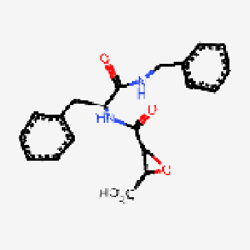 O=C(O)C1OC1C(=O)N[C@@H](Cc1ccccc1)C(=O)NCc1ccccc1